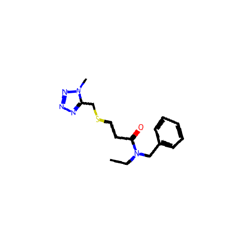 CCN(Cc1ccccc1)C(=O)CCSCc1nnnn1C